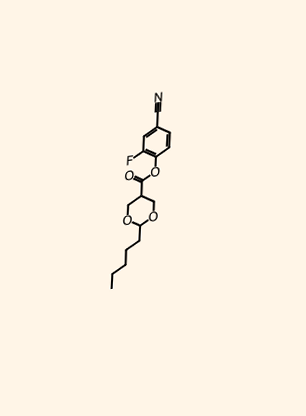 CCCCCC1OCC(C(=O)Oc2ccc(C#N)cc2F)CO1